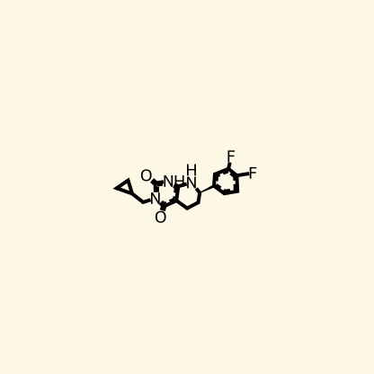 O=c1[nH]c2c(c(=O)n1CC1CC1)CC[C@H](c1ccc(F)c(F)c1)N2